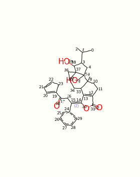 CC(C)C1CC2(CO)C3(C)CCC4=C(/C(=C(\CC(=O)C5=CC=CC5)c5ccccc5)OC4=O)C3CC3CC32C1O